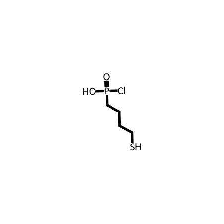 O=P(O)(Cl)CCCCS